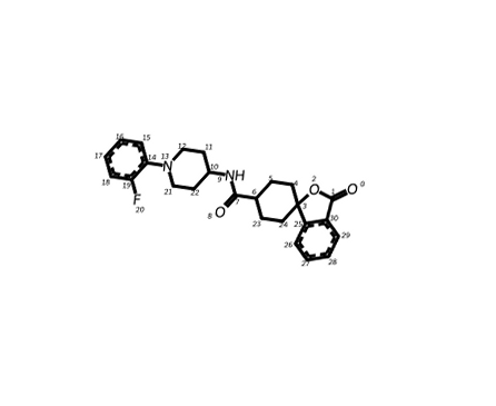 O=C1OC2(CCC(C(=O)NC3CCN(c4ccccc4F)CC3)CC2)c2ccccc21